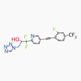 OC(Cn1cnnn1)C(F)(F)c1ccc(C#Cc2ccc(C(F)(F)F)cc2F)cn1